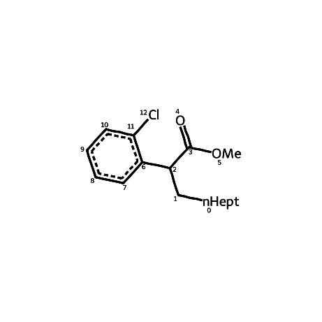 CCCCCCCCC(C(=O)OC)c1ccccc1Cl